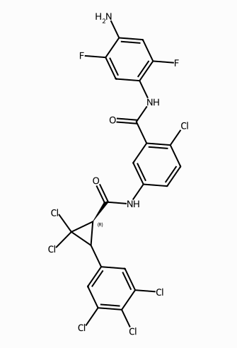 Nc1cc(F)c(NC(=O)c2cc(NC(=O)[C@H]3C(c4cc(Cl)c(Cl)c(Cl)c4)C3(Cl)Cl)ccc2Cl)cc1F